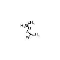 CCC(C)=NO[SiH2]C